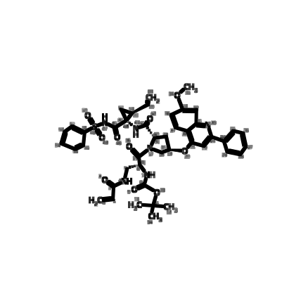 C=CC(=O)NC[C@@H](NC(=O)OC(C)(C)C)C(=O)N1C[C@H](Oc2cc(-c3ccccc3)nc3cc(OC)ccc23)C[C@H]1C(=O)N[C@]1(C(=O)NS(=O)(=O)c2ccccc2)C[C@H]1C=C